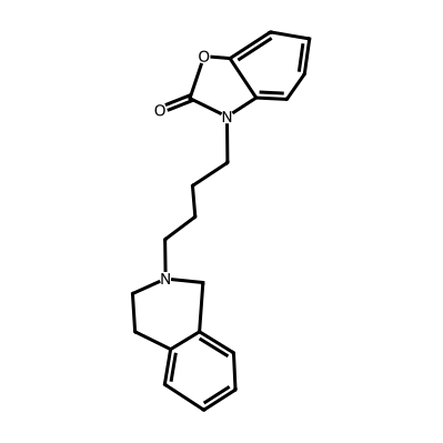 O=c1oc2ccccc2n1CCCCN1CCc2ccccc2C1